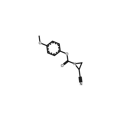 COc1ccc(OC(=O)N2CC2C#N)cc1